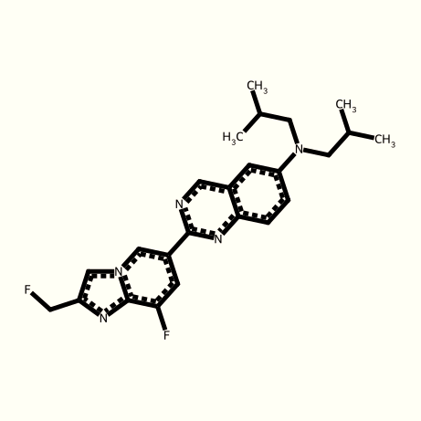 CC(C)CN(CC(C)C)c1ccc2nc(-c3cc(F)c4nc(CF)cn4c3)ncc2c1